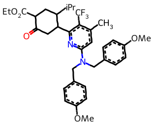 CCOC(=O)C1CC(C(C)C)C(c2nc(N(Cc3ccc(OC)cc3)Cc3ccc(OC)cc3)cc(C)c2C(F)(F)F)CC1=O